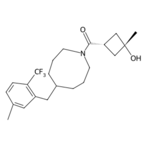 Cc1ccc(C(F)(F)F)c(CC2CCCN(C(=O)[C@H]3C[C@@](C)(O)C3)CCC2)c1